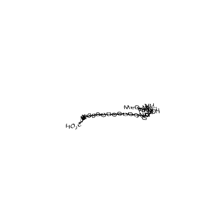 COCCOc1nc(N)c2nc(O)n(Cc3ccc(C(=O)NCCOCCOCCOCCOCCOCCOCCOCCOCCOCCOCCn4cc(CCC(=O)O)nn4)cc3)c2n1